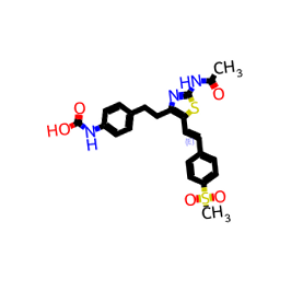 CC(=O)Nc1nc(CCc2ccc(NC(=O)O)cc2)c(/C=C/c2ccc(S(C)(=O)=O)cc2)s1